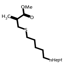 C=C(CSCCCCCCCCCCCC)C(=O)OC